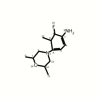 CC1CN(C2=CC=C(N)C(F)C2C)CC(C)O1